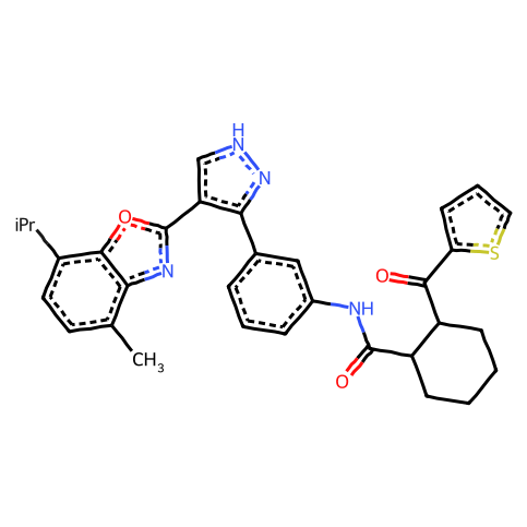 Cc1ccc(C(C)C)c2oc(-c3c[nH]nc3-c3cccc(NC(=O)C4CCCCC4C(=O)c4cccs4)c3)nc12